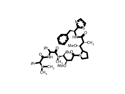 CC[C@H](C)[C@@H]([C@@H](CC(=O)N1CCCC1[C@H](OC)[C@@H](C)C(=O)N[C@@H](Cc1ccccc1)c1nccs1)OC)N(C)C(=O)C(NC(=O)C(C(C)C)N(C)C)C(C)C